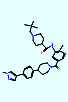 Cc1ccc(C(=O)N2CCC(c3ccc(-c4cnn(C)c4)cc3)CC2)cc1NC(=O)C1CCN(CC(C)(C)C)CC1